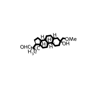 COC[C@]1(O)CC[C@H]2[C@H](CC[C@@H]3[C@@H]2CC[C@]2(C)[C@@H]([C@H](C)C=O)CC[C@@H]32)C1